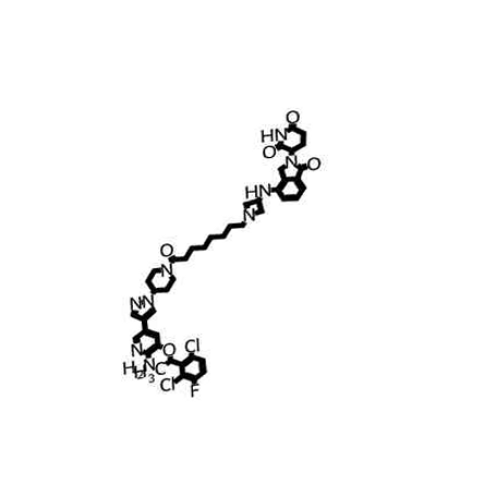 CC(Oc1cc(-c2cnn(C3CCN(C(=O)CCCCCCCN4CC(Nc5cccc6c5CN(C5CCC(=O)NC5=O)C6=O)C4)CC3)c2)cnc1N)c1c(Cl)ccc(F)c1Cl